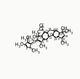 CC1=CC(C)[C]([Zr+2][C]2=C(C)c3cc4c(cc3C2(C)C)Cc2cc3c(cc2-4)C(C)=CC3(C)C)=C1C.[Cl-].[Cl-]